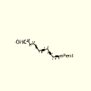 CCCCCC#CCC#CCC#CCC#CCCC[C]=O